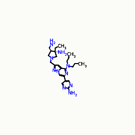 CCCN(CCC)c1nc(-c2cnc(N)nc2)cn2nc(CN3C[C@@H](CN)[C@@](N)(CC)C3)cc12